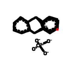 [O-][Cl+3]([O-])([O-])[O-].c1ccc2c(c1)C1c3ccccc3C2[n+]2ccccc21